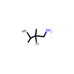 CCCC(C)C(C)(CC)CN